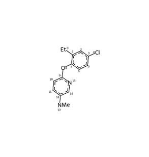 CCc1cc(Cl)ccc1Oc1ccc(NC)cn1